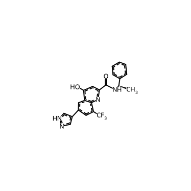 C[C@@H](NC(=O)c1cc(O)c2cc(-c3cn[nH]c3)cc(C(F)(F)F)c2n1)c1ccccc1